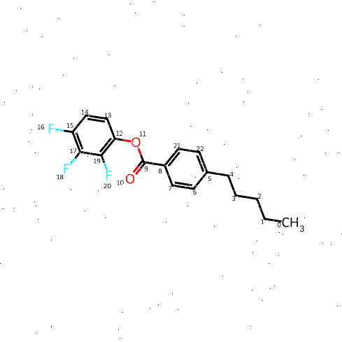 CCCCCc1ccc(C(=O)Oc2ccc(F)c(F)c2F)cc1